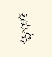 Cc1cc(OC2CC(C)N(Cc3ccccc3F)C(C)C2)c2ccccc2n1